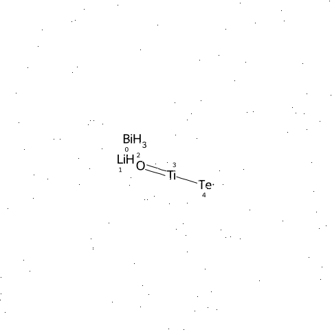 [BiH3].[LiH].[O]=[Ti][Te]